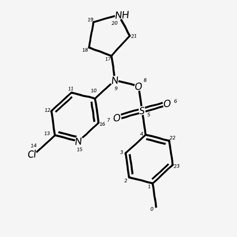 Cc1ccc(S(=O)(=O)ON(c2ccc(Cl)nc2)C2CCNC2)cc1